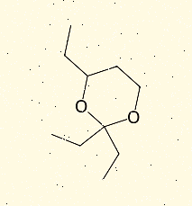 CCC1CCOC(CC)(CC)O1